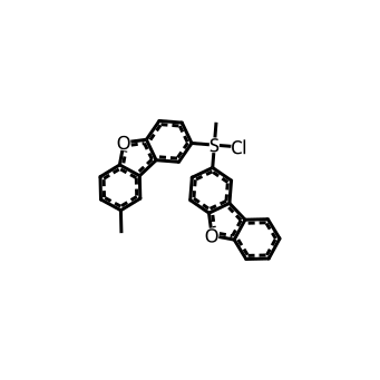 Cc1ccc2oc3ccc(S(C)(Cl)c4ccc5oc6ccccc6c5c4)cc3c2c1